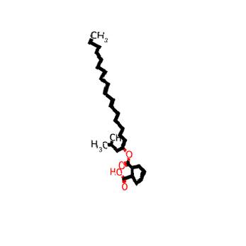 CCCCCCCCCCCCCCCCCC(CC(C)C)OC(=O)C1CC=CCC1C(=O)O